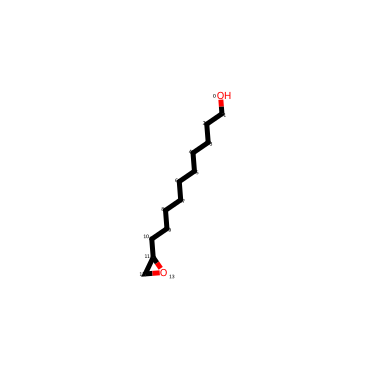 OCCCCCCCCCCC1CO1